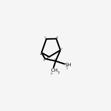 CC1(S)CC2CCC1C2